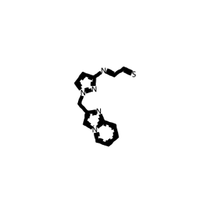 S=CC=Nc1ccn(Cc2cn3ccccc3n2)n1